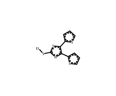 CCSc1nc(-c2cccs2)c(-c2cccs2)s1